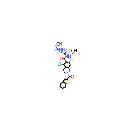 N#C/N=C\NC[C@H](NC(=O)c1c(Cl)cc2c(c1Cl)CCN(C(=O)c1cc3ccccc3s1)C2)C(=O)O